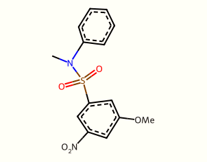 COc1cc([N+](=O)[O-])cc(S(=O)(=O)N(C)c2ccccc2)c1